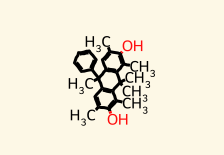 Cc1cc2c(c(C)c1O)C(C)(C)c1c(cc(C)c(O)c1C)C2(C)c1ccccc1